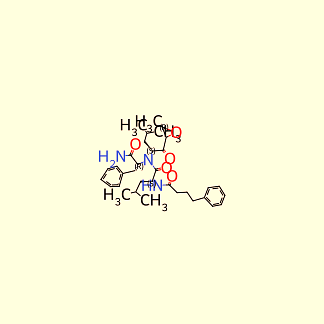 CC(C)C[C@H](NC(=O)CCCc1ccccc1)C(=O)N([C@H](Cc1ccccc1)C(N)=O)[C@@H](CC(C)C)C(=O)C1O[C@@H]1C